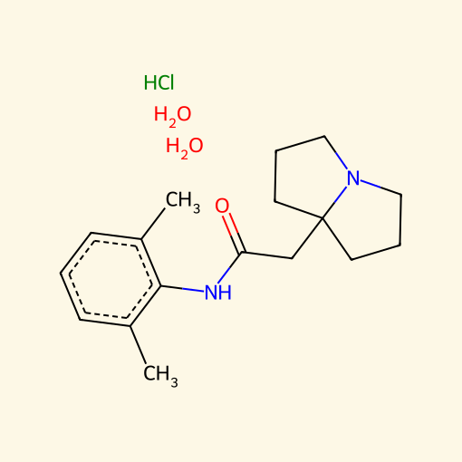 Cc1cccc(C)c1NC(=O)CC12CCCN1CCC2.Cl.O.O